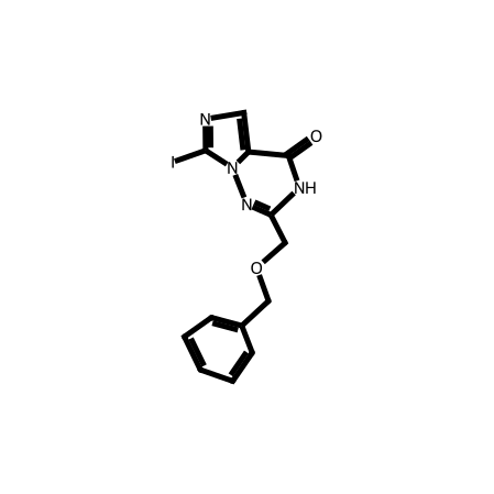 O=c1[nH]c(COCc2ccccc2)nn2c(I)ncc12